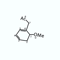 COC1CC=CC=C1CC(C)=O